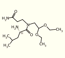 CCOC(CN(CCC(N)=O)C(=O)[C@@H](N)CC(C)C)OCC